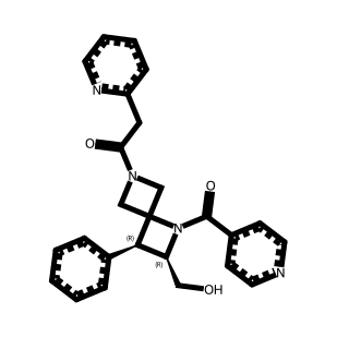 O=C(Cc1ccccn1)N1CC2(C1)[C@H](c1ccccc1)[C@H](CO)N2C(=O)c1ccncc1